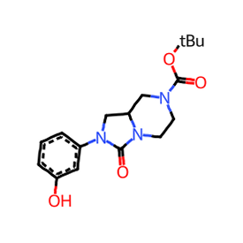 CC(C)(C)OC(=O)N1CCN2C(=O)N(c3cccc(O)c3)CC2C1